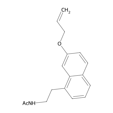 C=CCOc1ccc2cccc(CCNC(C)=O)c2c1